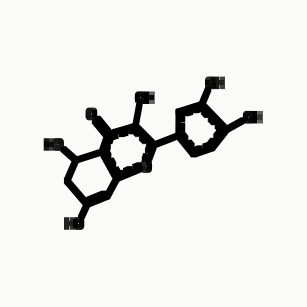 O=c1c(O)c(-c2ccc(O)c(O)c2)oc2c1C(O)CC(O)=C2